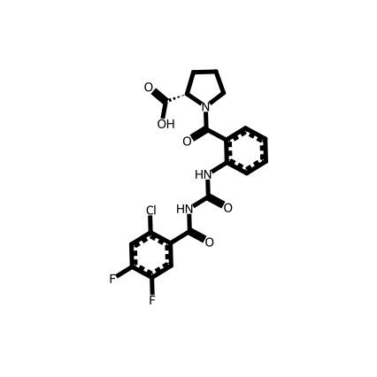 O=C(NC(=O)c1cc(F)c(F)cc1Cl)Nc1ccccc1C(=O)N1CCC[C@H]1C(=O)O